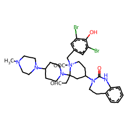 CN1CCN(C2CCN(C3(CC=O)CC(N4CCc5ccccc5NC4=O)CC[N@+]3(Cc3cc(Br)c(O)c(Br)c3)C(=O)[O-])CC2)CC1